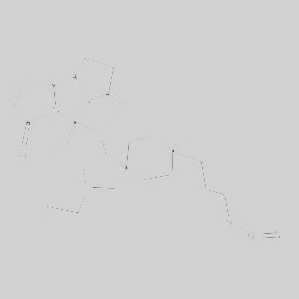 CC1(CCCN=[N+]=[N-])OCC(C[S+]([O-])CCC(=O)O)(C[S+]([O-])C(CC(=O)O)(N2C(=O)CCC2=O)N2C(=O)CCC2=O)CO1